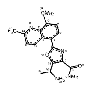 CNC(=O)c1nc(-c2ccc(OC)c3nc(C(F)(F)F)ccc23)oc1[C@H](C)N